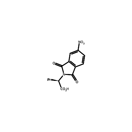 CC(C)[C@H](C(=O)O)N1C(=O)c2ccc([N+](=O)[O-])cc2C1=O